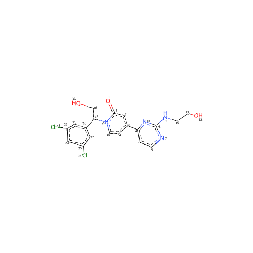 O=c1cc(-c2ccnc(NCCO)n2)ccn1C(CO)c1cc(Cl)cc(Cl)c1